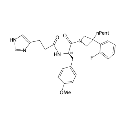 CCCCCC1(c2ccccc2F)CN(C(=O)[C@@H](Cc2ccc(OC)cc2)NC(=O)CCc2c[nH]cn2)C1